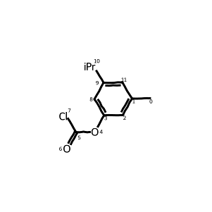 Cc1cc(OC(=O)Cl)cc(C(C)C)c1